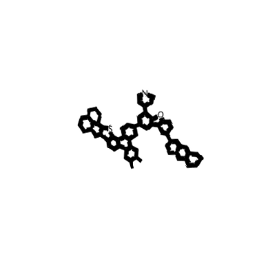 Cc1cc2c3cc(-c4cc(-c5ccncc5)c5oc6ccc(-c7ccc8cc9ccccc9cc8c7)cc6c5c4)ccc3c3c(ccc4c5cc6cccc7c6c(c5sc43)C=CC7)c2cc1C